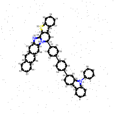 c1ccc(-n2c3ccccc3c3ccc(-c4ccc(-c5ccc(-c6cc7c8ccccc8sc7c7nc8cc9cc%10ccccc%10cc9cc8n67)cc5)cc4)cc32)cc1